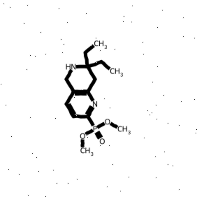 CCC1(CC)Cc2nc(P(=O)(OC)OC)ccc2CN1